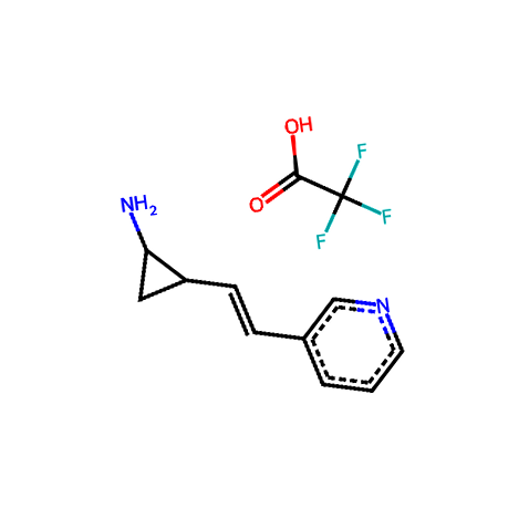 NC1CC1/C=C/c1cccnc1.O=C(O)C(F)(F)F